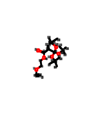 C=C(C(=O)OCCO[SiH3])C(O[Si](C)(C)C)(O[Si](C)(C)C)O[Si](C)(C)C